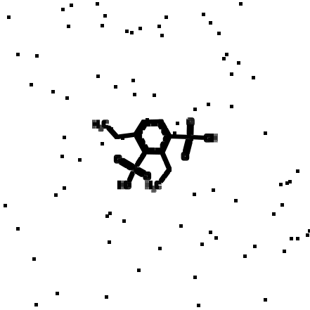 CCc1ccc(S(=O)(=O)O)c(CC)c1S(=O)(=O)O